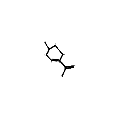 C=C(C)C1=CC[C](C)CC1